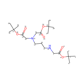 CC(C)(C)OC(=O)CNCCCN(CC(=O)OC(C)(C)C)CC(=O)OC(C)(C)C